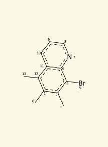 Cc1c(C)c(Br)c2ncccc2c1C